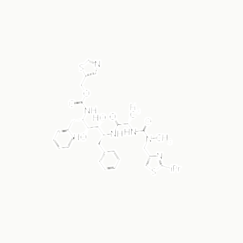 CC(C)c1nc(CN(C)C(=O)N[C@@H](C)C(=O)N[C@@H](Cc2ccccc2)[C@@H](O)[C@H](O)[C@H](Cc2ccccc2)NC(=O)OCc2cncs2)cs1